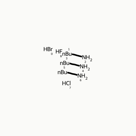 Br.CCCCN.CCCCN.CCCCN.Cl.F